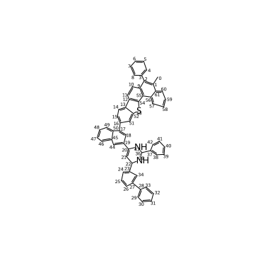 Cc1c(-c2ccccc2)c2ccc3c4ccc(-c5cc(C6=CC(c7cccc(-c8ccccc8)c7)NC(c7ccccc7)N6)cc6ccccc56)cc4sc3c2c2ccccc12